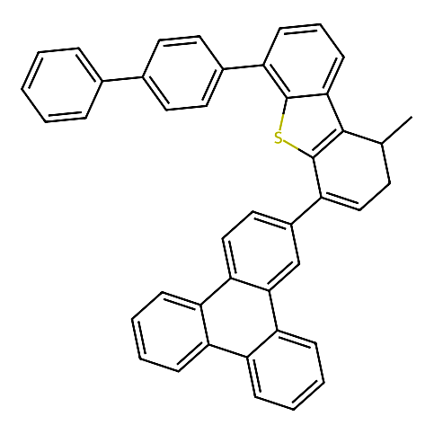 CC1CC=C(c2ccc3c4ccccc4c4ccccc4c3c2)c2sc3c(-c4ccc(-c5ccccc5)cc4)cccc3c21